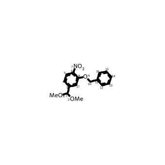 COC(OC)c1ccc([N+](=O)[O-])c(OCc2ccccc2)c1